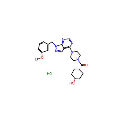 CCOc1cccc(Cn2ncc3c(N4CCN(C(=O)[C@H]5CC[C@H](O)CC5)CC4)ncnc32)c1.Cl